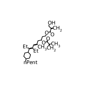 C=C(C)C(=O)OC(CCOC(=O)C(=C)CO)C/C(C)=C/C(CC)=C(\CC)C1CCC(CCCCC)CC1